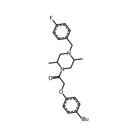 CCC(C)c1ccc(OCC(=O)N2CC(C)N(Cc3ccc(F)cc3)CC2C)cc1